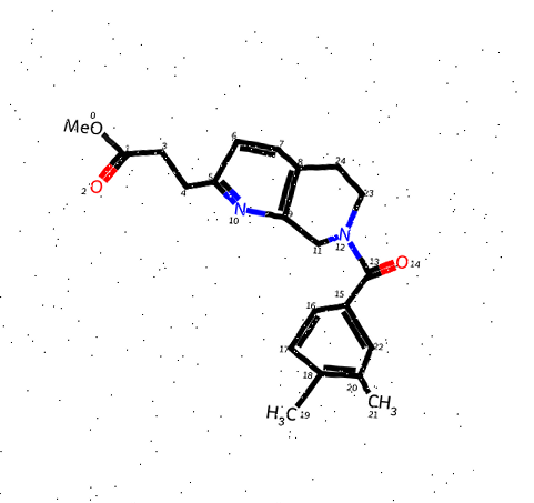 COC(=O)CCc1ccc2c(n1)CN(C(=O)c1ccc(C)c(C)c1)CC2